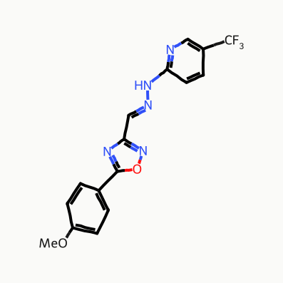 COc1ccc(-c2nc(C=NNc3ccc(C(F)(F)F)cn3)no2)cc1